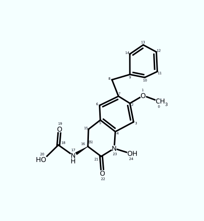 COc1cc2c(cc1Cc1ccccc1)C[C@H](NC(=O)O)C(=O)N2O